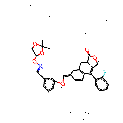 CC1(C)OC[C@H](ON=Cc2cccc(O/C=C3\C=CC4=C(C3)CC3C(=O)OCC3=C4c3ccccc3F)c2)O1